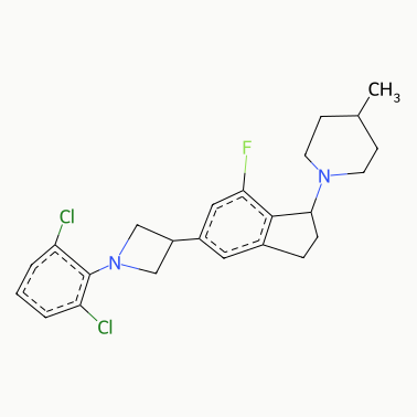 CC1CCN(C2CCc3cc(C4CN(c5c(Cl)cccc5Cl)C4)cc(F)c32)CC1